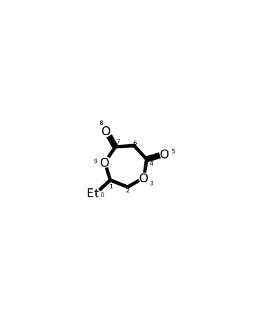 CCC1COC(=O)CC(=O)O1